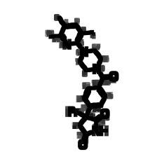 Cc1cc(C)c(N2CCN(C(=O)c3ccc(C4(C(C)C)CC(=O)NC4=O)cc3)CC2)nc1C